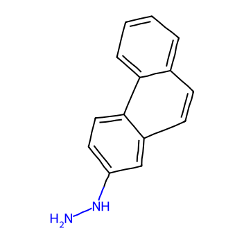 NNc1ccc2c(ccc3ccccc32)c1